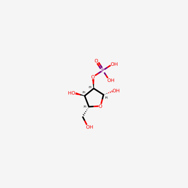 O=P(O)(O)O[C@@H]1[C@H](O)[C@@H](CO)O[C@H]1O